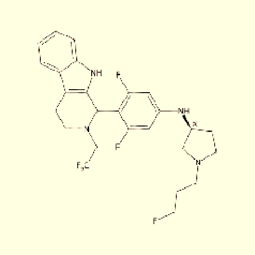 FCCCN1CC[C@H](Nc2cc(F)c(C3c4[nH]c5ccccc5c4CCN3CC(F)(F)F)c(F)c2)C1